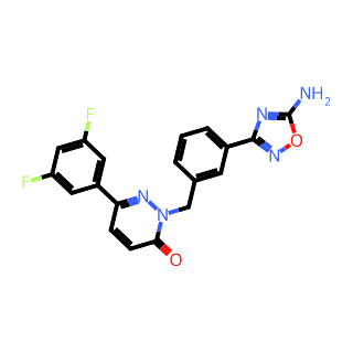 Nc1nc(-c2cccc(Cn3nc(-c4cc(F)cc(F)c4)ccc3=O)c2)no1